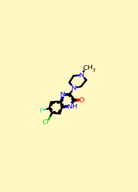 CN1CCN(c2nc3cc(F)c(Cl)cc3[nH]c2=O)CC1